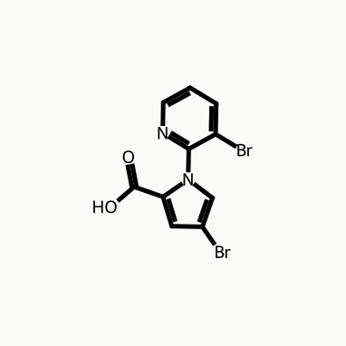 O=C(O)c1cc(Br)cn1-c1ncccc1Br